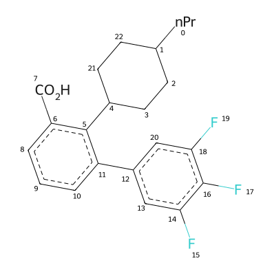 CCCC1CCC(c2c(C(=O)O)cccc2-c2cc(F)c(F)c(F)c2)CC1